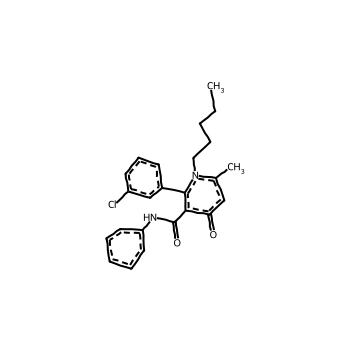 CCCCCn1c(C)cc(=O)c(C(=O)Nc2ccccc2)c1-c1cccc(Cl)c1